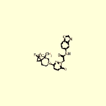 CC1(C)CN(c2ccc(=O)n(CC(=O)Nc3ccc4ocnc4c3)n2)CCC12CC2(F)F